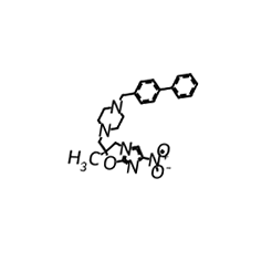 C[C@@]1(CN2CCN(Cc3ccc(-c4ccccc4)cc3)CC2)Cn2cc([N+](=O)[O-])nc2O1